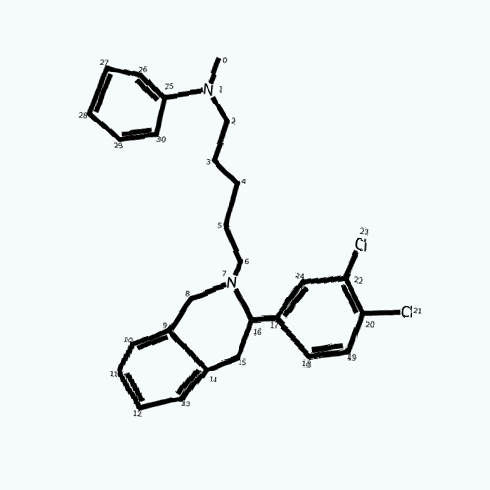 CN(CCCCCN1Cc2ccccc2CC1c1ccc(Cl)c(Cl)c1)c1ccccc1